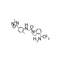 Cc1noc(-c2ccc(C)c(NCC(=O)N3CCc4c(C(N)C(F)(F)F)cccc43)c2)n1